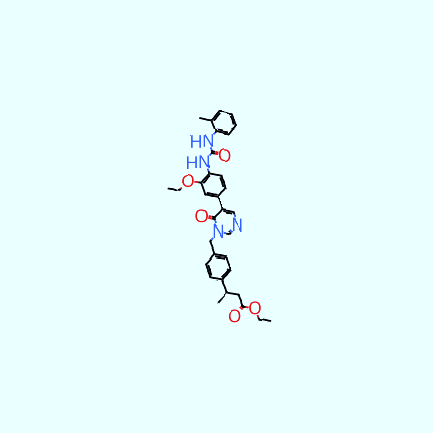 CCOC(=O)C[C@@H](C)c1ccc(Cn2cncc(-c3ccc(NC(=O)Nc4ccccc4C)c(OCC)c3)c2=O)cc1